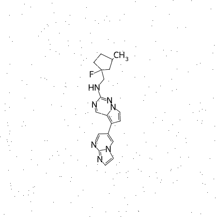 CC1CCC(F)(CNc2ncc3c(-c4cnc5nccn5c4)ccn3n2)C1